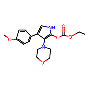 CCOC(=O)Oc1[nH]cc(-c2ccc(OC)cc2)c1N1CCOCC1